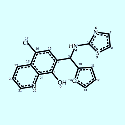 Oc1c(C(Nc2nccs2)c2ccco2)cc(Cl)c2cccnc12